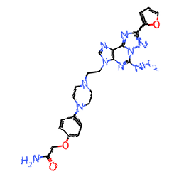 NC(=O)COc1ccc(N2CCN(CCn3cnc4c3nc(N)n3nc(-c5ccco5)nc43)CC2)cc1